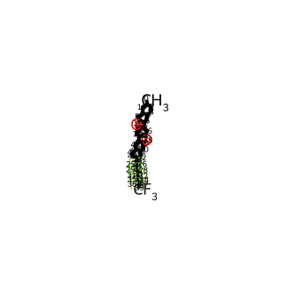 Cc1ccc2cc3c(cc2c1)oc1cc2c(cc13)oc1cc3cc(C(F)(F)C(F)(F)C(F)(F)C(F)(F)C(F)(F)C(F)(F)F)ccc3cc12